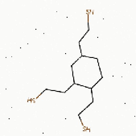 SCCC1CCC(CCS)C(CCS)C1